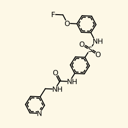 O=C(NCc1cccnc1)Nc1ccc(S(=O)(=O)Nc2cccc(OCF)c2)cc1